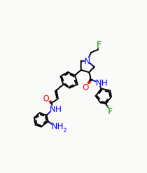 Nc1ccccc1NC(=O)/C=C/c1ccc(C2CN(CCF)CC2C(=O)Nc2ccc(F)cc2)cc1